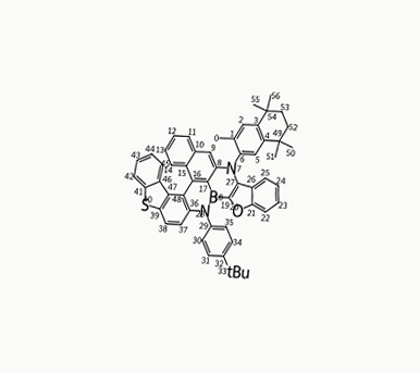 Cc1cc2c(cc1N1c3cc4ccccc4c4c3B(c3oc5ccccc5c31)N(c1ccc(C(C)(C)C)cc1)c1ccc3sc5ccccc5c3c1-4)C(C)(C)CCC2(C)C